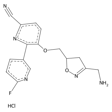 Cl.N#Cc1ccc(OCC2CC(CN)=NO2)c(-c2ccc(F)nc2)n1